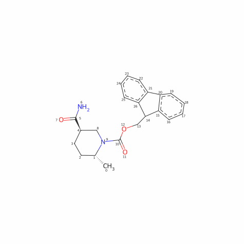 C[C@@H]1CC[C@@H](C(N)=O)CN1C(=O)OCC1c2ccccc2-c2ccccc21